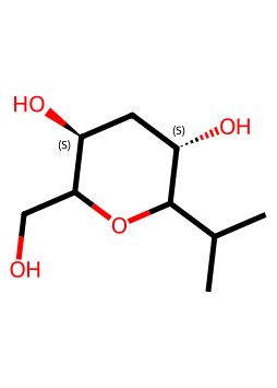 CC(C)C1OC(CO)[C@@H](O)C[C@@H]1O